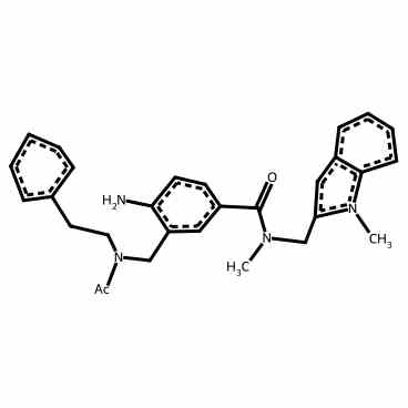 CC(=O)N(CCc1ccccc1)Cc1cc(C(=O)N(C)Cc2cc3ccccc3n2C)ccc1N